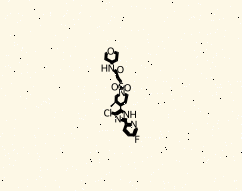 C[C@H]1CN(S(=O)(=O)CCC(=O)NC2CCOCC2)CC[C@H]1c1[nH]c(-c2ccc(F)cn2)nc1Cl